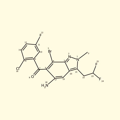 Cn1nc2c(Br)c(C(=O)c3cc(F)ccc3Cl)c(N)cc2c1CC(F)F